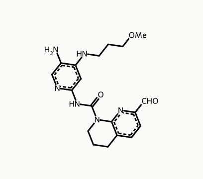 COCCCNc1cc(NC(=O)N2CCCc3ccc(C=O)nc32)ncc1N